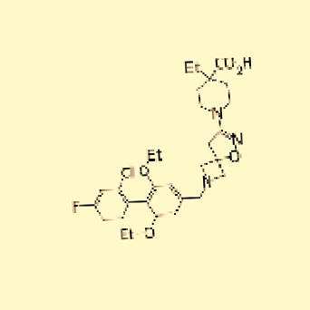 CCOc1cc(CN2CC3(CC(N4CCC(CC)(C(=O)O)CC4)=NO3)C2)cc(OCC)c1-c1ccc(F)cc1Cl